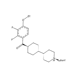 CCCCC[Si@H]1CC[C@H]([C@H]2CC[C@H](C(=O)c3ccc(OCC)c(F)c3F)CC2)CC1